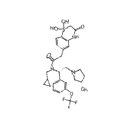 O=C1CS(O)(O)c2ccc(CC(=O)N(CC3CC3)[C@H](CN3CC[C@H](O)C3)c3cccc(OC(F)(F)F)c3)cc2N1